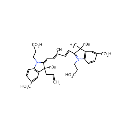 C=CCC1(CCCC)\C(=C/C=C(C#N)/C=C/C2=[N+](CCC(=O)O)c3ccc(C(=O)O)cc3C2(C)CCCC)N(CCC(=O)O)c2ccc(C(=O)O)cc21